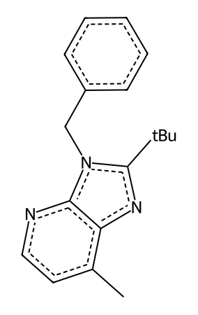 Cc1ccnc2c1nc(C(C)(C)C)n2Cc1ccccc1